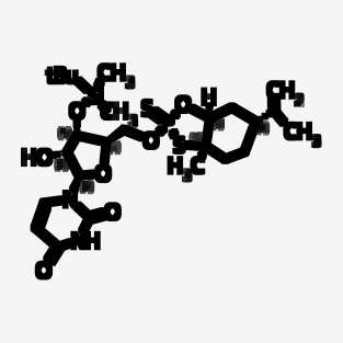 C=C(C)[C@@H]1CC[C@]2(C)SP(=S)(OC[C@H]3O[C@@H](n4ccc(=O)[nH]c4=O)[C@H](O)[C@@H]3O[Si](C)(C)C(C)(C)C)O[C@H]2C1